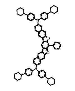 c1ccc(-c2c3oc4cc5cc(N(c6ccc(C7CCCCC7)cc6)c6ccc(C7CCCCC7)cc6)ccc5cc4c3cc3c2oc2cc4cc(N(c5ccc(C6CCCCC6)cc5)c5ccc(C6CCCCC6)cc5)ccc4cc23)cc1